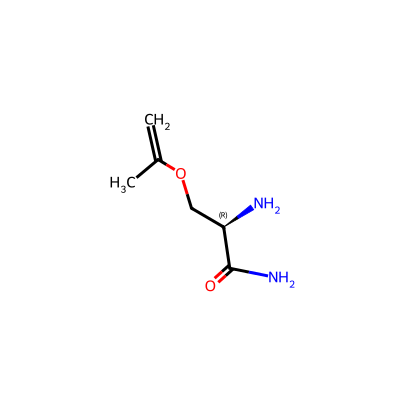 C=C(C)OC[C@@H](N)C(N)=O